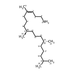 CC(=CCCN)CCC[C@H](C)CCC[C@H](C)CCCC(C)C